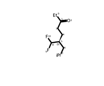 CCC(=O)CC[C@@H](CC(C)C)C(F)F